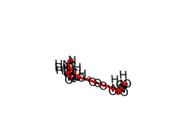 CN1CCC(Nc2cccc(C(=O)NCc3ccc(OCCCCCCOCCOCCOCCCCCC(=O)Nc4cccc5c4CN(C4CCC(=O)NC4=O)C5=O)cc3)c2)(C(=N)NC(=N)c2ccncc2)CC1